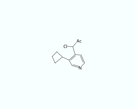 CC(=O)C(Cl)c1ccncc1C1CCC1